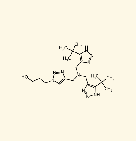 CC(C)(C)c1[nH]nnc1CN(Cc1cn(CCCO)nn1)Cc1nn[nH]c1C(C)(C)C